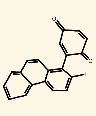 O=C1C=CC(=O)C(c2c(I)ccc3c2ccc2ccccc23)=C1